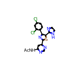 CC(=O)Nc1cc(-c2nc(-c3ccc(Cl)cc3Cl)c(-c3ncc[nH]3)s2)ncn1